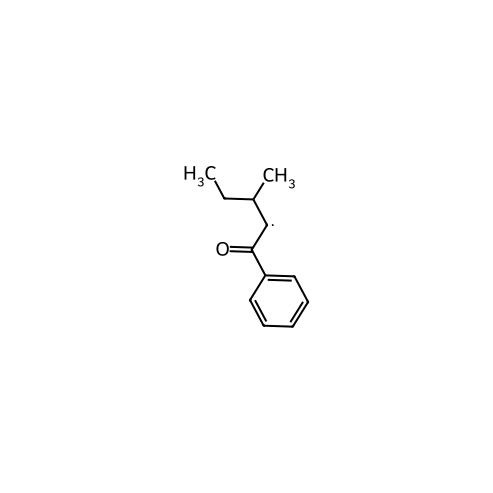 CCC(C)[CH]C(=O)c1ccccc1